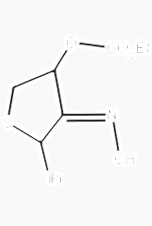 CCOC(=O)OC1CSC(C(C)C)C1=NO